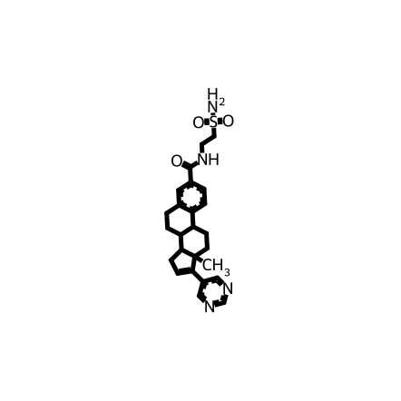 CC12CCC3c4ccc(C(=O)NCCS(N)(=O)=O)cc4CCC3C1CC=C2c1cncnc1